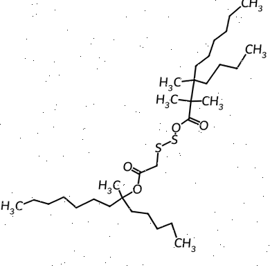 CCCCCCCC(C)(CCCCC)OC(=O)CSSOC(=O)C(C)(C)C(C)(CCCC)CCCCCC